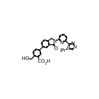 CC(C)n1cnnc1-c1cccc(N2Cc3ccc(-c4ccc(CO)c(C(=O)O)c4)cc3C2=O)n1